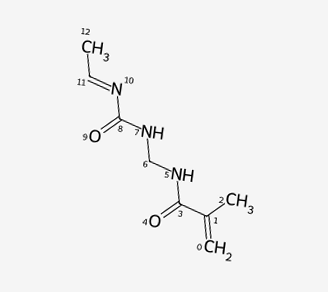 C=C(C)C(=O)NCNC(=O)N=CC